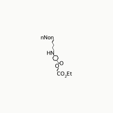 CCCCCCCCC/C=C/CCCNc1ccc(C(=O)O/C=C/C(=O)OCC)cc1